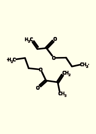 [CH2]CCOC(=O)C(=C)C.[CH2]CCOC(=O)C=C